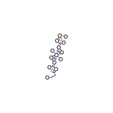 C(=C/c1coc2c(N(c3ccccc3)c3ccc4c(c3)c3cccc5c6c(-c7ccccc7)c7c(c(-c8ccccc8)c6n4c35)c3cccc4c5cc(N(c6ccccc6)c6cccc8c6oc6c(-c9ccccc9)cccc68)ccc5n7c43)cccc12)/C=C/c1ccccc1